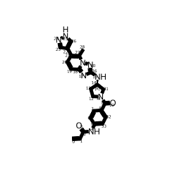 C=CC(=O)Nc1ccc(C(=O)N2CC[C@@H](Nc3nc4ccc(-c5cn[nH]c5)c(C)n4n3)C2)cc1